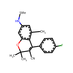 CSNc1cc(C)c2c(c1)OC(C)(C)C(C#N)=C2c1ccc(F)cc1